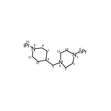 CCCN1CCN(CC2CCN(C(C)C)CC2)CC1